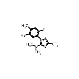 Cc1cc(F)c(-n2nc(C(F)(F)F)nc2N(C)C)cc1S